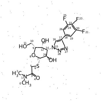 CN(C)C(=O)CS[C@@H]1O[C@H](CO)[C@H](O)[C@H](n2cc(-c3cc(F)c(F)c(F)c3)nn2)[C@H]1O